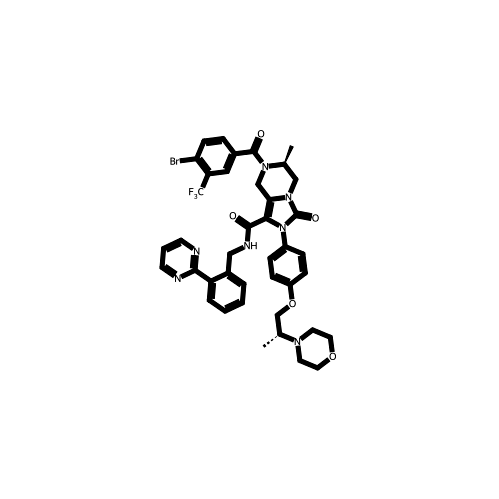 C[C@H](COc1ccc(-n2c(C(=O)NCc3ccccc3-c3ncccn3)c3n(c2=O)C[C@H](C)N(C(=O)c2ccc(Br)c(C(F)(F)F)c2)C3)cc1)N1CCOCC1